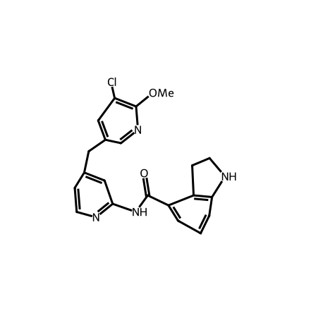 COc1ncc(Cc2ccnc(NC(=O)c3cccc4c3CCN4)c2)cc1Cl